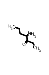 CCCC(N)C(=O)CC